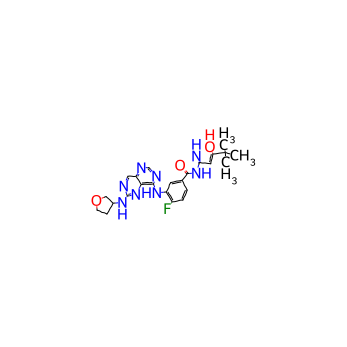 CC(C)(C)/C(O)=C/C(=N)NC(=O)c1ccc(F)c(Nc2ncnc3cnc(NC4CCOC4)nc23)c1